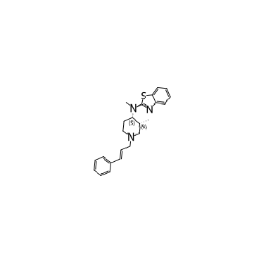 C[C@@H]1CN(CC=Cc2ccccc2)CC[C@@H]1N(C)c1nc2ccccc2s1